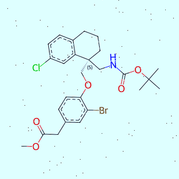 COC(=O)Cc1ccc(OC[C@@]2(CNC(=O)OC(C)(C)C)CCCc3ccc(Cl)cc32)c(Br)c1